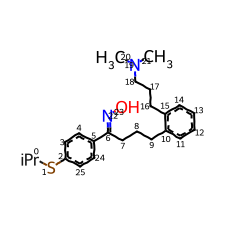 CC(C)Sc1ccc(C(CCCc2ccccc2CCCN(C)C)=NO)cc1